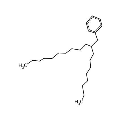 CCCCCCCCCCC(CCCCCCCC)Cc1ccccc1